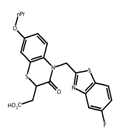 CCCOc1ccc2c(c1)SC(CC(=O)O)C(=O)N2Cc1nc2cc(F)ccc2s1